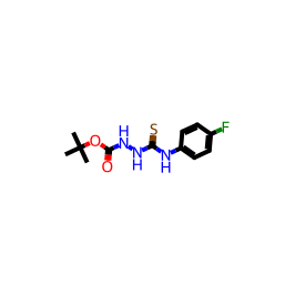 CC(C)(C)OC(=O)NNC(=S)Nc1ccc(F)cc1